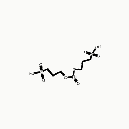 O=[PH](OCCCS(=O)(=O)O)OCCCS(=O)(=O)O